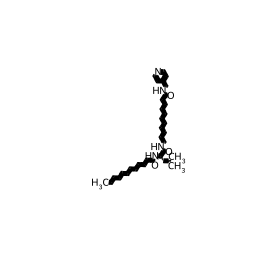 CCCCCCCCCCCC(=O)N[C@@H](CC(C)C)C(=O)NCCCCCCCCCCC(=O)NCc1ccncc1